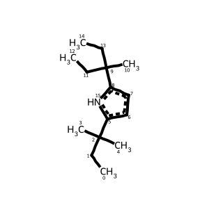 CCC(C)(C)c1ccc(C(C)(CC)CC)[nH]1